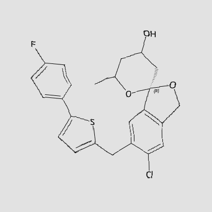 CC1CC(O)C[C@@]2(OCc3cc(Cl)c(Cc4ccc(-c5ccc(F)cc5)s4)cc32)O1